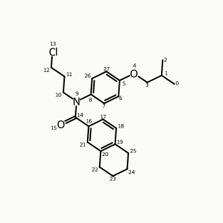 CC(C)COc1ccc(N(CCCCl)C(=O)c2ccc3c(c2)CCCC3)cc1